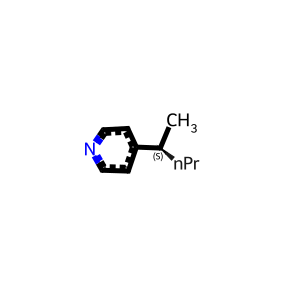 CCC[C@H](C)c1ccncc1